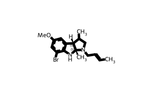 CC=CCN1CC(C)[C@H]2c3cc(OC)cc(Br)c3N[C@]21C